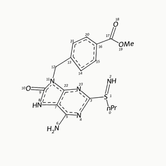 CCCS(=N)c1nc(N)c2[nH]c(=O)n(Cc3ccc(C(=O)OC)cc3)c2n1